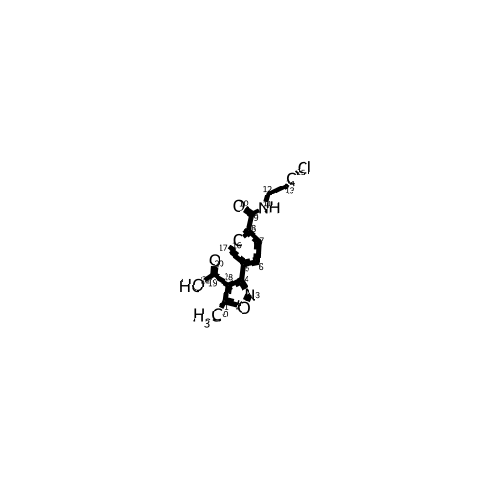 Cc1onc(-c2ccc(C(=O)NCCCCl)cc2)c1C(=O)O